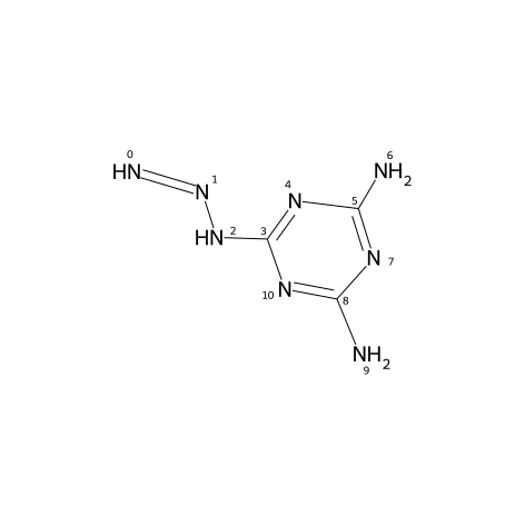 N=NNc1nc(N)nc(N)n1